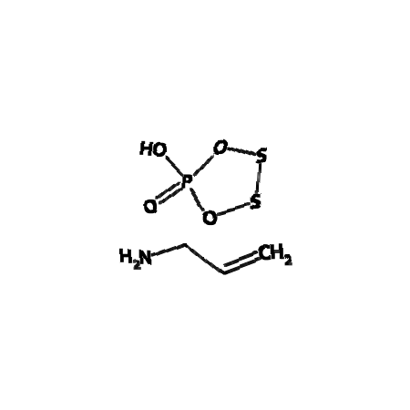 C=CCN.O=P1(O)OSSO1